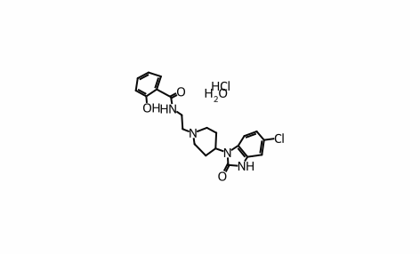 Cl.O.O=C(NCCN1CCC(n2c(=O)[nH]c3cc(Cl)ccc32)CC1)c1ccccc1O